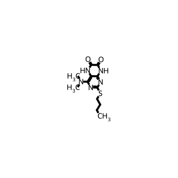 CCCCSc1nc(N(C)C)c2[nH]c(=O)c(=O)[nH]c2n1